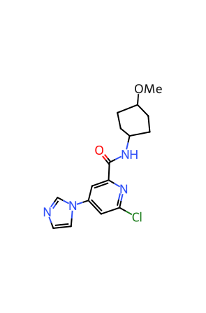 COC1CCC(NC(=O)c2cc(-n3ccnc3)cc(Cl)n2)CC1